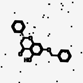 O=C1C[C@H](c2ccccc2)Oc2cc(OCc3ccccc3)cc(O)c21